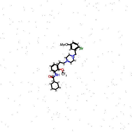 COc1ccc(Br)c(CN2CCN(CCc3cccc(NC(=O)C4CCCCC4)c3OC(F)(F)F)CC2)c1